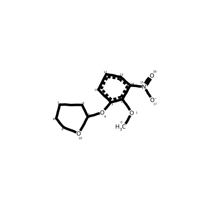 COc1c(OC2CCCCO2)cccc1[N+](=O)[O-]